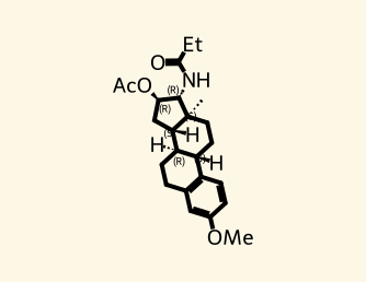 CCC(=O)N[C@H]1[C@H](OC(C)=O)C[C@H]2[C@@H]3CCc4cc(OC)ccc4[C@H]3CC[C@@]21C